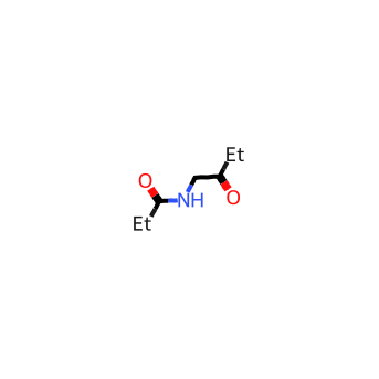 CCC(=O)CNC(=O)CC